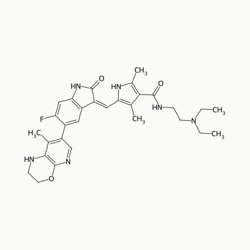 CCN(CC)CCNC(=O)c1c(C)[nH]c(C=C2C(=O)Nc3cc(F)c(-c4cnc5c(c4C)NCCO5)cc32)c1C